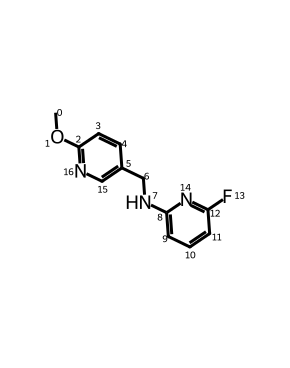 COc1ccc(CNc2cccc(F)n2)cn1